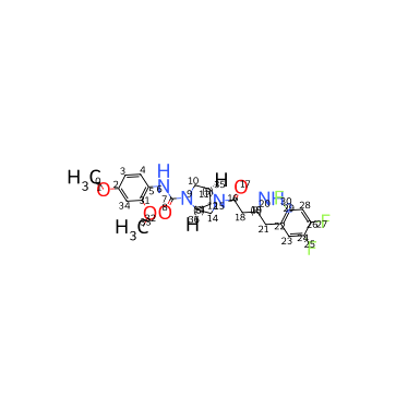 COc1ccc(NC(=O)N2C[C@@H]3C[C@H]2CN3C(=O)C[C@H](N)Cc2cc(F)c(F)cc2F)c(OC)c1